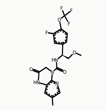 COC[C@@H](NC(=O)N1CC(=O)Nc2cc(C)cnc21)c1ccc(OC(F)(F)F)c(F)c1